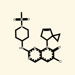 CS(=O)(=O)N1CCC(Nc2ncc3cc(Cl)c(=O)n(C4CC=CC45CC5)c3n2)CC1